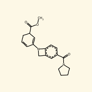 COC(=O)C1C=C(N2Cc3cc(C(=O)N4CCCC4)ccc32)C=CC1